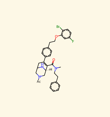 CC(=O)N1CC2CC(c3ccc(CCOc4cc(F)ccc4Br)cc3)=C(C(=O)N(C)CCc3ccccc3)[C@@H](C1)N2